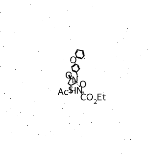 CCOC(=O)CNC(=O)[C@@H]1[C@@H](SC(C)=O)CC(=O)N1Cc1ccc(Oc2ccccc2)cc1